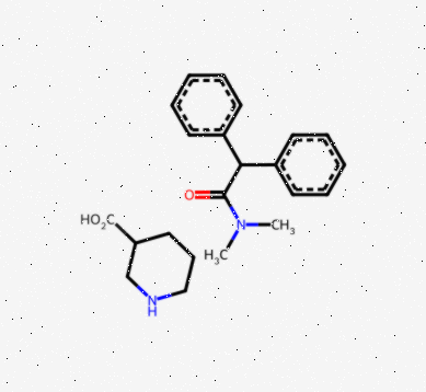 CN(C)C(=O)C(c1ccccc1)c1ccccc1.O=C(O)C1CCCNC1